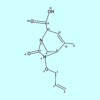 C=CCON1C(=O)N2CC1C(C)=CC2C(=O)O